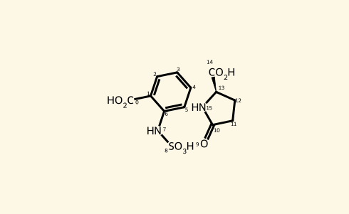 O=C(O)c1ccccc1NS(=O)(=O)O.O=C1CC[C@H](C(=O)O)N1